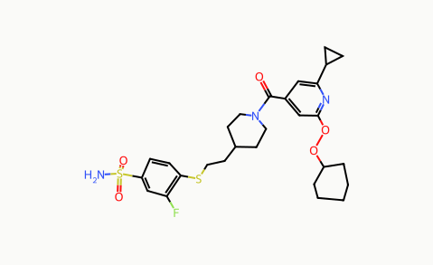 NS(=O)(=O)c1ccc(SCCC2CCN(C(=O)c3cc(OOC4CCCCC4)nc(C4CC4)c3)CC2)c(F)c1